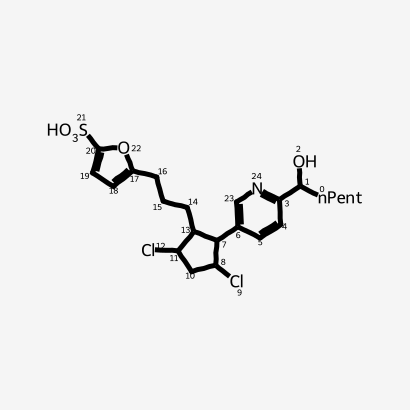 CCCCCC(O)c1ccc(C2C(Cl)CC(Cl)C2CCCc2ccc(S(=O)(=O)O)o2)cn1